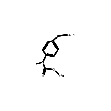 CN(C(=O)OC(C)(C)C)c1ccc(CC(=O)O)cc1